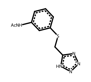 CC(=O)Nc1cccc(SCc2nnn[nH]2)c1